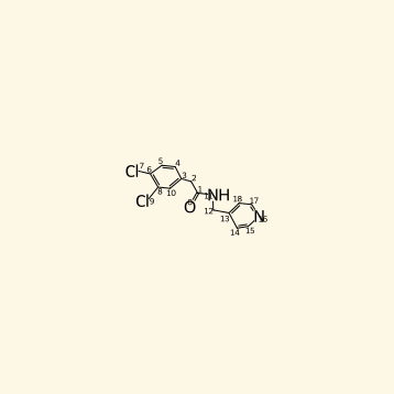 O=C(Cc1ccc(Cl)c(Cl)c1)NCc1ccncc1